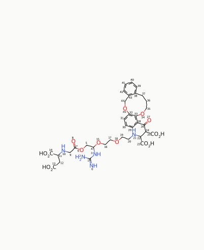 N=C(N)NC(COC(=O)CNC(CC(=O)O)C(=O)O)OCCOCCNC(C(=O)O)C(C(=O)O)C(=O)c1cccc2c1OCCCc1ccccc1CO2